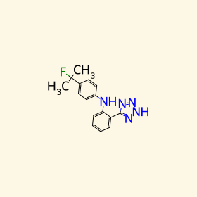 CC(C)(F)c1ccc(Nc2ccccc2-c2nn[nH]n2)cc1